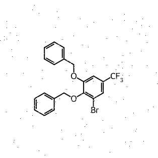 FC(F)(F)c1cc(Br)c(OCc2ccccc2)c(OCc2ccccc2)c1